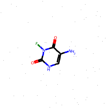 Nc1c[nH]c(=O)n(F)c1=O